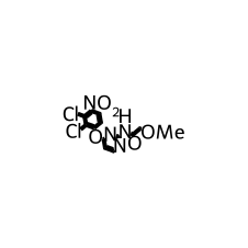 COCC(=O)Nc1nccc(Oc2ccc([N+](=O)[O-])c(Cl)c2Cl)n1